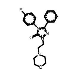 O=c1n(CCN2CCOCC2)nc(-c2ccccc2)n1-c1ccc(F)cc1